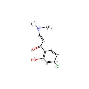 CN(C)/C=C/C(=O)c1ccc(Cl)cc1O